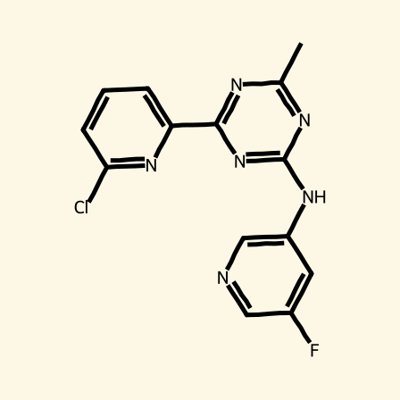 Cc1nc(Nc2cncc(F)c2)nc(-c2cccc(Cl)n2)n1